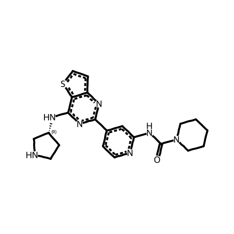 O=C(Nc1cc(-c2nc(N[C@@H]3CCNC3)c3sccc3n2)ccn1)N1CCCCC1